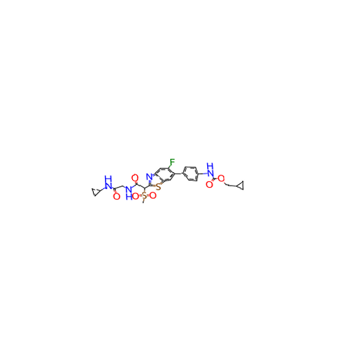 CS(=O)(=O)C(C(=O)NCC(=O)NC1CC1)c1nc2cc(F)c(-c3ccc(NC(=O)OCC4CC4)cc3)cc2s1